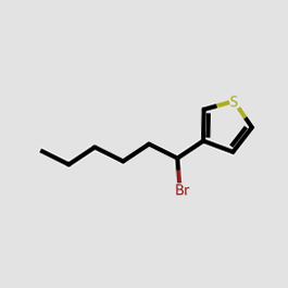 CCCCCC(Br)c1ccsc1